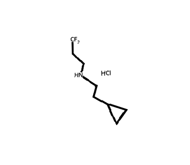 Cl.FC(F)(F)CCNCCC1CC1